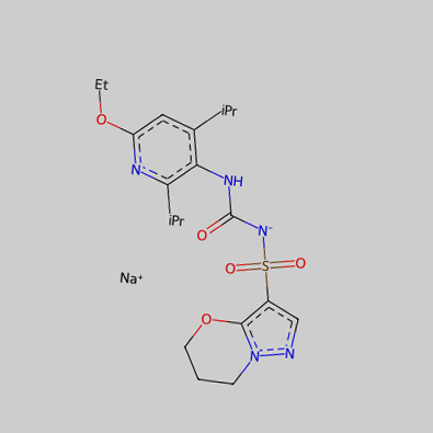 CCOc1cc(C(C)C)c(NC(=O)[N-]S(=O)(=O)c2cnn3c2OCCC3)c(C(C)C)n1.[Na+]